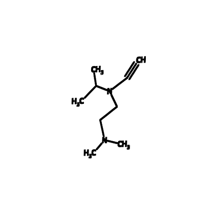 C#CN(CCN(C)C)C(C)C